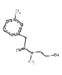 CN(CCO)C(=O)Cc1cccc(C(F)(F)F)c1